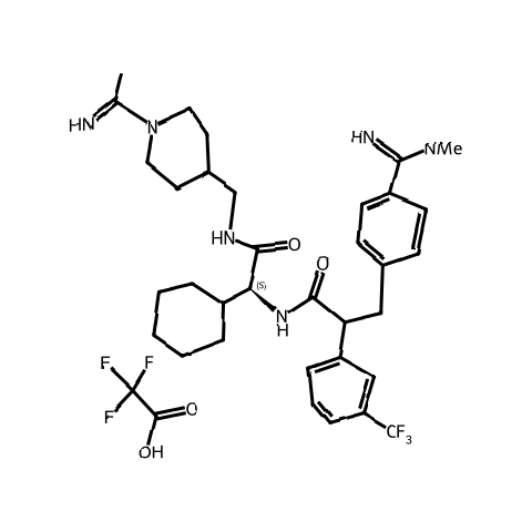 CNC(=N)c1ccc(CC(C(=O)N[C@H](C(=O)NCC2CCN(C(C)=N)CC2)C2CCCCC2)c2cccc(C(F)(F)F)c2)cc1.O=C(O)C(F)(F)F